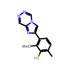 COc1c(-c2cn3cnncc3n2)ccc(C)c1S